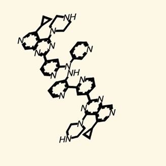 c1cncc(N(Nc2cccnc2-c2cc(-c3nc(N4CCNCC4)c4c(C5CC5)cncc4n3)ccn2)c2cc(-c3nc(N4CCNCC4)c4c(C5CC5)cncc4n3)ccn2)c1